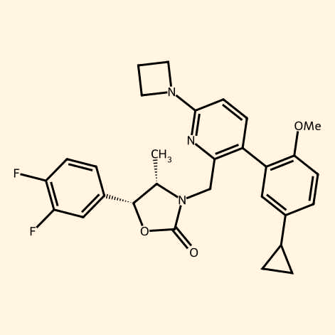 COc1ccc(C2CC2)cc1-c1ccc(N2CCC2)nc1CN1C(=O)O[C@H](c2ccc(F)c(F)c2)[C@@H]1C